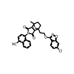 CC12CCC(CCOc3noc4cc(Cl)ccc34)(O1)C1C(=O)N(c3ccc(C#N)c4ccccc34)C(=O)C12